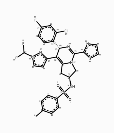 Cc1ccc(S(=O)(=O)N[C@H]2CC3=C(c4ccn(C(F)F)n4)[C@H](c4ccc(F)cc4Cl)N=C(c4nccs4)N3C2)cc1